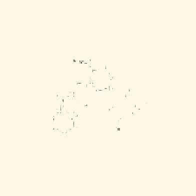 COc1ccc(C2CC(O)CC(C)O2)cc1Cc1cc2ccccc2s1